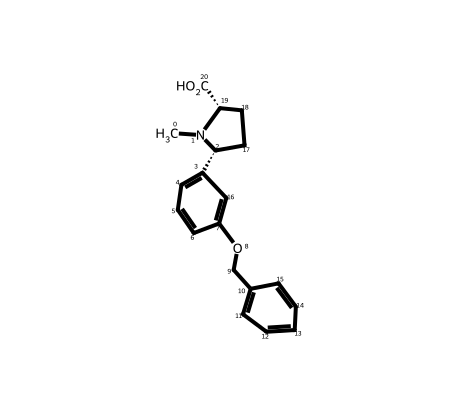 CN1[C@@H](c2cccc(OCc3ccccc3)c2)CC[C@H]1C(=O)O